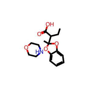 C1COCCN1.CCC(C(=O)O)C1(C)Oc2ccccc2O1